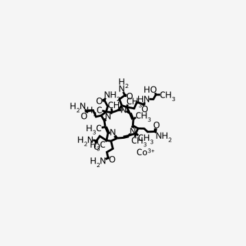 C/C1=C2N=C(/C=C3N=C(/C(C)=C4\[N-]C(C(CC(N)=O)C4(C)CCC(=O)NCC(C)O)C4(C)N=C1C(CCC(N)=O)C4(C)CC(N)=O)C(CCC(N)=O)C\3(C)C)C(CCC(N)=O)C/2(C)CC(N)=O.[Co+3]